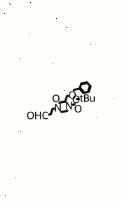 CC(C)(C)OC(=O)N1CCN(CCC=O)C(=O)C1COCc1ccccc1